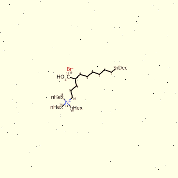 CCCCCCCCCCCCCCCCC(CCC[N+](CCCCCC)(CCCCCC)CCCCCC)C(=O)O.[Br-]